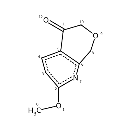 COc1ccc2c(n1)COCC2=O